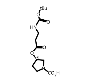 CC(C)(C)OC(=O)NCCC(=O)O[C@@H]1CCN(C(=O)O)C1